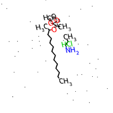 CCCCCCCCCCCCC(C)O[Si](C)(OC)OC.CCCN.Cl